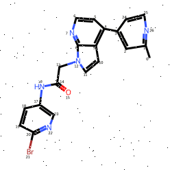 Cc1cc(-c2ccnc3c2ccn3CC(=O)Nc2ccc(Br)nc2)ccn1